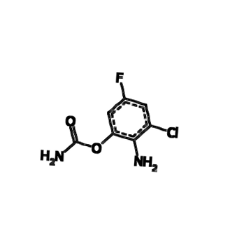 NC(=O)Oc1cc(F)cc(Cl)c1N